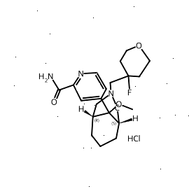 COC1(c2ccnc(C(N)=O)c2)[C@@H]2CCC[C@H]1CN(CC1(F)CCOCC1)C2.Cl